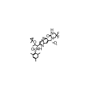 COC[C@H](c1cnn2cc([C@@H](N[S@@+]([O-])C3=C(C)C=C(C)CC3C)C(C)OC3(C)CC3)nc2c1)N1CC(F)(F)CNC1=O